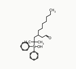 CCCCCCCC(CC=O)CC(C)(C)[Si](O)(c1ccccc1)c1ccccc1